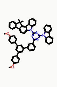 COc1ccc(-c2cc(-c3ccc(OC)cc3)cc(-c3cccc(-c4nc(-n5c6ccccc6c6ccccc65)nc(-n5c6ccccc6c6c7c(ccc65)-c5ccccc5C7(C)C)n4)c3)c2)cc1